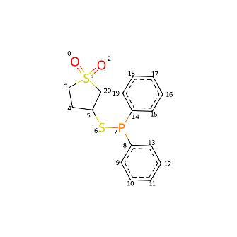 O=S1(=O)CCC(SP(c2ccccc2)c2ccccc2)C1